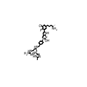 Cc1nnc(NC[C@@H](CCNC(=N)N)NCc2ccc(N3C=c4cc(-c5cc(CCC[C@H](C)N)cc(Cl)c5F)[nH]c4=NC3O)cc2)[nH]1